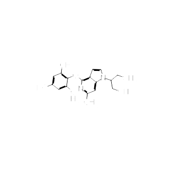 CCC(CC)n1ccc2c(Oc3c(C)cc(C)cc3C)nc(C)cc21